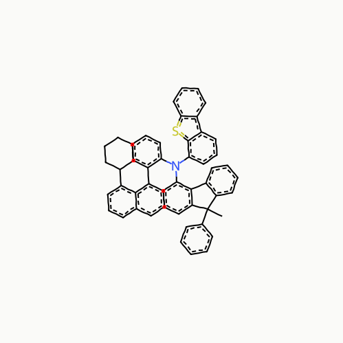 CC1(c2ccccc2)c2ccccc2-c2c(N(c3ccccc3-c3cccc4cccc(C5CCCCC5)c34)c3cccc4c3sc3ccccc34)cccc21